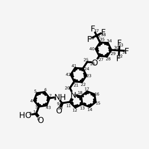 O=C(O)c1cccc(NC(=O)c2cc3ccccc3n2Cc2ccc(COc3cc(C(F)(F)F)cc(C(F)(F)F)c3)cc2)c1